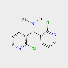 CCN(CC)C(c1cccnc1Cl)c1cccnc1Cl